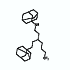 CCCCC(CCNC12CC3CC(CC(C3)C1)C2)CCC12CC3CC(CC(C3)C1)C2